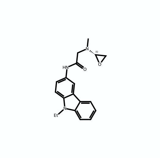 CCn1c2ccccc2c2cc(NC(=O)CN(C)[C@@H]3CO3)ccc21